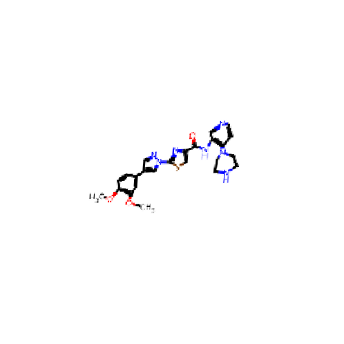 COc1ccc(-c2cnn(-c3nc(C(=O)Nc4cnccc4N4CCNCC4)cs3)c2)cc1OC